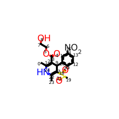 CC1=C(C(=O)OCCO)C(c2cccc([N+](=O)[O-])c2)C(S(C)(=O)=O)=C(C)N1